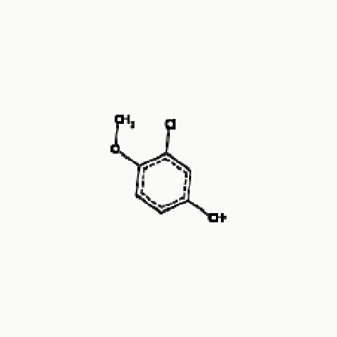 [CH]c1ccc(OC)c(Cl)c1